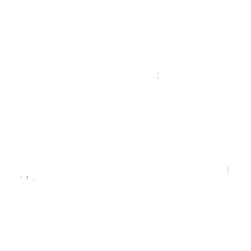 Bc1cc(B)cc(CCOC)c1